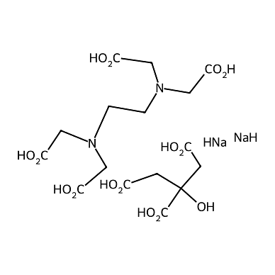 O=C(O)CC(O)(CC(=O)O)C(=O)O.O=C(O)CN(CCN(CC(=O)O)CC(=O)O)CC(=O)O.[NaH].[NaH]